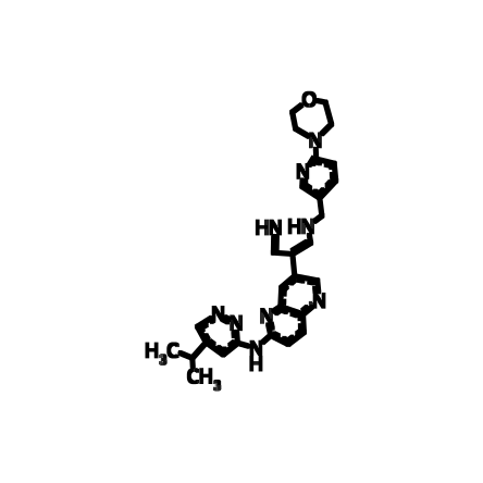 CC(C)c1cnnc(Nc2ccc3ncc(/C(C=N)=C/NCc4ccc(N5CCOCC5)nc4)cc3n2)c1